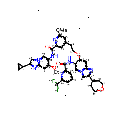 CCOc1cc2nc(C3CC3)cn2cc1NC(=O)c1cc(CCOc2cc3nc(C4CCOCC4)cn3cc2NC(=O)c2cccc(C(F)F)n2)cc(OC)n1